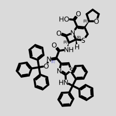 O=C(O)C1=C([C@H]2CCCO2)CS[C@@H]2[C@H](NC(=O)/C(=N/OC(c3ccccc3)(c3ccccc3)c3ccccc3)c3csc(NC(c4ccccc4)(c4ccccc4)c4ccccc4)n3)C(=O)N12